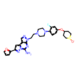 Nc1nc2c(cnn2CCN2CCN(c3ccc(OC4CC[S+]([O-])CC4)cc3F)CC2)c2cc(-c3ccco3)nn12